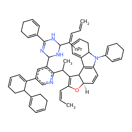 C=C/C=C(\CCC)C1NC(C2=CCCC=C2)=NC(c2cc(C3=CC=CCC3C3=CC=CCC3)cnc2C(C)C2=C(/C=C\C)O[C@@H]3C=CC4=C(C5=CC=CCC5N4C4=CCCC=C4)C23)N1